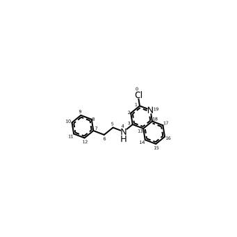 Clc1cc(NCCc2ccccc2)c2ccccc2n1